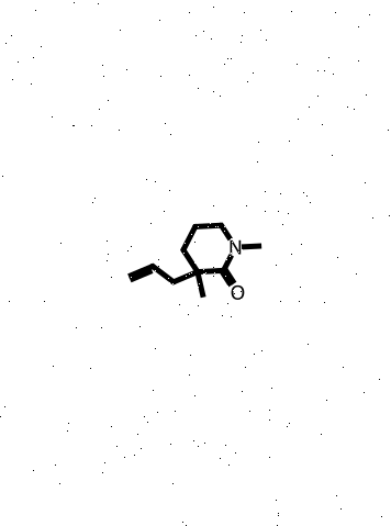 C=CCC1(C)CCCN(C)C1=O